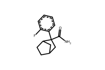 NC(=O)C1(c2ccccc2F)CC2CCC1C2